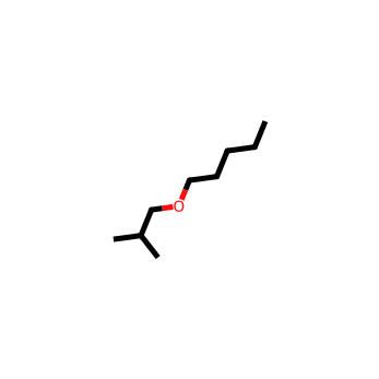 CCCCCOC[C](C)C